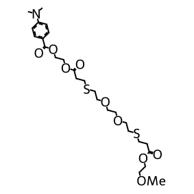 COCCOC(=O)CCSCCOCCOCCSCCC(=O)OCCOC(=O)c1ccc(N(C)C)cc1